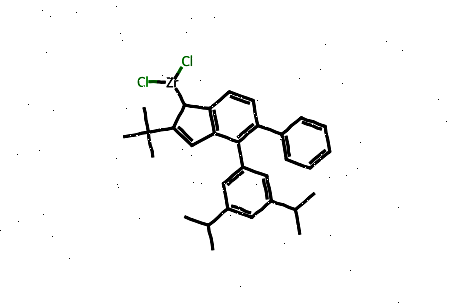 CC(C)c1cc(-c2c(-c3ccccc3)ccc3c2C=C(C(C)(C)C)[CH]3[Zr]([Cl])[Cl])cc(C(C)C)c1